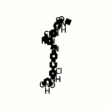 CCC1(C(=O)NC2CCC2)CCN(c2ccc(-c3nc(-c4cnn(C5CCC(N6CCC(c7ccc(NC8CCC(=O)NC8=O)cc7Cl)CC6)CC5)c4)cn4ncc(C#N)c34)cn2)CC1